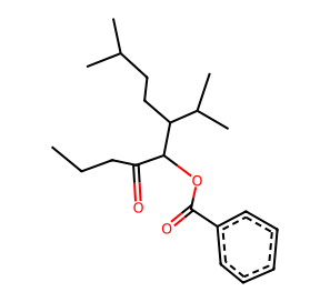 CCCC(=O)C(OC(=O)c1ccccc1)C(CCC(C)C)C(C)C